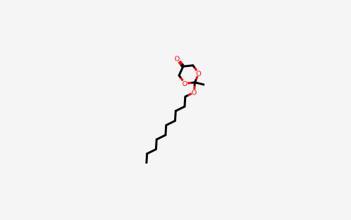 CCCCCCCCCCOC1(C)OCC(=O)CO1